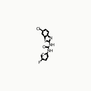 O=C(Nc1ccc(F)cc1)Nc1nc2ccc(Cl)cc2s1